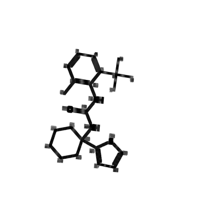 Cc1cccc(C(C)(C)C)c1NC(=O)NC1(c2cccs2)CCCCC1